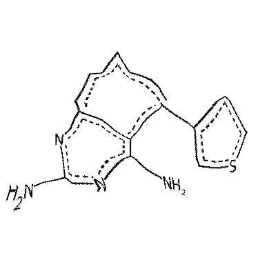 Nc1nc(N)c2c(-c3ccsc3)cccc2n1